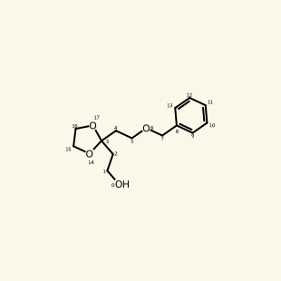 OCCC1(CCOCc2ccccc2)OCCO1